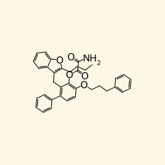 CCCCc1oc2ccccc2c1Cc1c(-c2ccccc2)ccc(OCCCc2ccccc2)c1OC(=O)C(N)=O